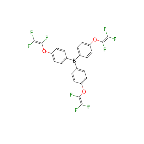 FC(F)=C(F)Oc1ccc(B(c2ccc(OC(F)=C(F)F)cc2)c2ccc(OC(F)=C(F)F)cc2)cc1